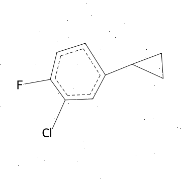 Fc1ccc(C2CC2)cc1Cl